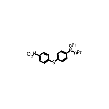 CCCN(CCC)c1ccc(Sc2ccc([N+](=O)[O-])cc2)cc1